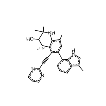 Cc1cc(-c2cccc3c(C)c[nH]c23)c(C#Cc2ncccn2)c2c1NC(C)(C)C(O)[C@H]2C